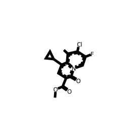 COC(=O)c1cc(C2CC2)c2c(C)c(Cl)c(F)cn2c1=O